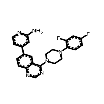 Nc1cc(-c2ccc3ncnc(N4CCN(c5ccc(F)cc5F)CC4)c3c2)ccn1